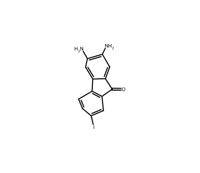 Nc1cc2c(cc1N)-c1ccc(I)cc1C2=O